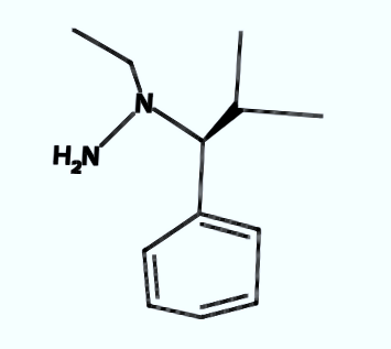 CCN(N)[C@H](c1ccccc1)C(C)C